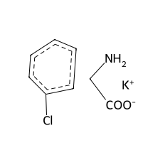 Clc1ccccc1.NCC(=O)[O-].[K+]